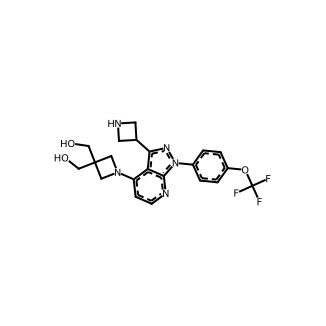 OCC1(CO)CN(c2ccnc3c2c(C2CNC2)nn3-c2ccc(OC(F)(F)F)cc2)C1